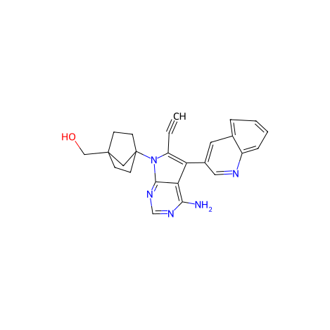 C#Cc1c(-c2cnc3ccccc3c2)c2c(N)ncnc2n1C12CCC(CO)(CC1)C2